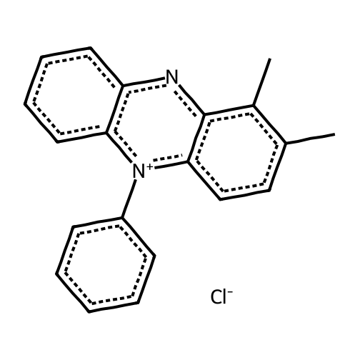 Cc1ccc2c(nc3ccccc3[n+]2-c2ccccc2)c1C.[Cl-]